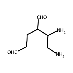 NCC(N)C(C=O)CCC=O